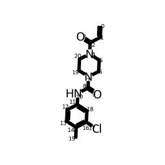 C=CC(=O)N1CCN(C(=O)Nc2ccc(C)c(Cl)c2)CC1